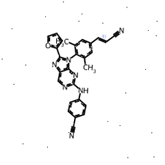 Cc1cc(/C=C/C#N)cc(C)c1-n1c(-c2ccco2)nc2cnc(Nc3ccc(C#N)cc3)nc21